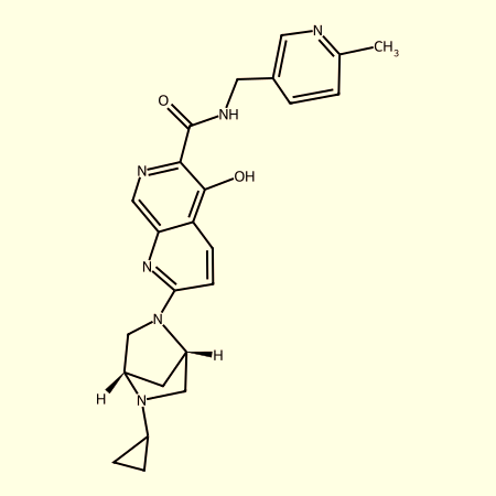 Cc1ccc(CNC(=O)c2ncc3nc(N4C[C@@H]5C[C@H]4CN5C4CC4)ccc3c2O)cn1